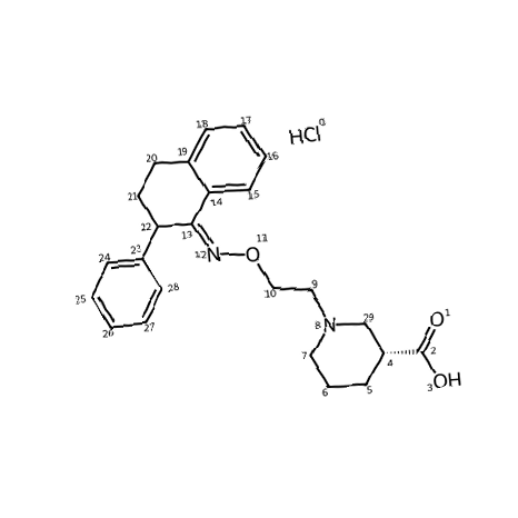 Cl.O=C(O)[C@@H]1CCCN(CCO/N=C2\c3ccccc3CCC2c2ccccc2)C1